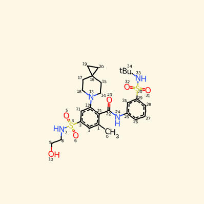 Cc1cc(S(=O)(=O)NCCO)cc(N2CCC3(CC2)CC3)c1C(=O)Nc1cccc(S(=O)(=O)NC(C)(C)C)c1